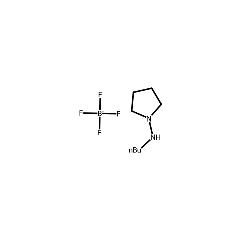 CCCCNN1CCCC1.F[B-](F)(F)F